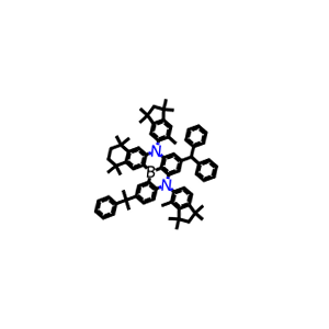 Cc1cc2c(cc1N1c3cc4c(cc3B3c5cc(C(C)(C)c6ccccc6)ccc5N(c5ccc6c(c5C)C(C)(C)CC6(C)C)c5cc(C(c6ccccc6)c6ccccc6)cc1c53)C(C)(C)CCC4(C)C)C(C)(C)CC2(C)C